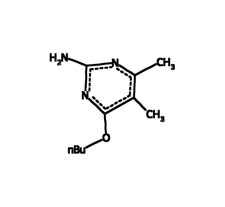 CCCCOc1nc(N)nc(C)c1C